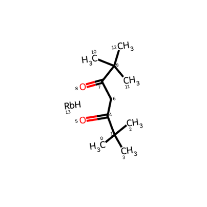 CC(C)(C)C(=O)CC(=O)C(C)(C)C.[RbH]